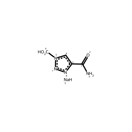 NC(=O)c1cn(C(=O)O)nn1.[NaH]